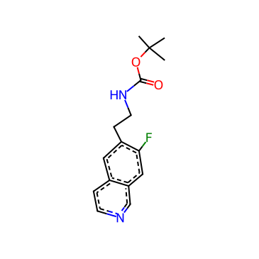 CC(C)(C)OC(=O)NCCc1cc2ccncc2cc1F